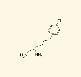 NCC(N)CCCCc1ccc(Cl)cc1